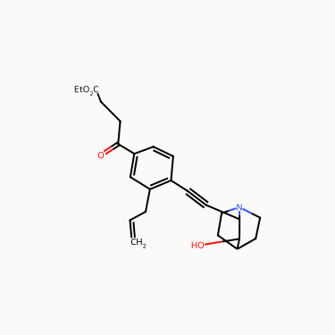 C=CCc1cc(C(=O)CCC(=O)OCC)ccc1C#CC1C(O)C2CCN1CC2